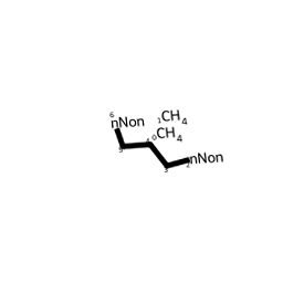 C.C.CCCCCCCCCCCCCCCCCCCCC